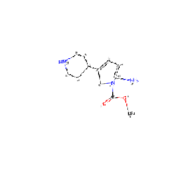 CC(C)(C)OC(=O)N1CC(C2CCNCC2)=CC=C1N